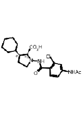 CC(=O)Nc1ccc(C(=O)NN2CC[C@@H](C3CCCCC3)[C@H]2C(=O)O)c(Cl)c1